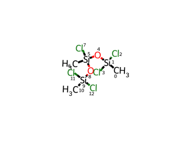 C[Si](Cl)(Cl)O[Si](C)(Cl)O[Si](C)(Cl)Cl